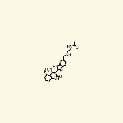 CC(=O)NCCNCc1ccc2nc(-c3c(N)c4c(F)cccc4[nH]c3=O)[nH]c2c1